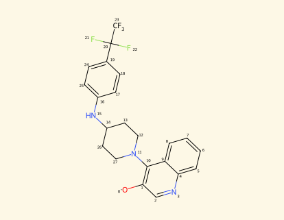 [O]c1cnc2ccccc2c1N1CCC(Nc2ccc(C(F)(F)C(F)(F)F)cc2)CC1